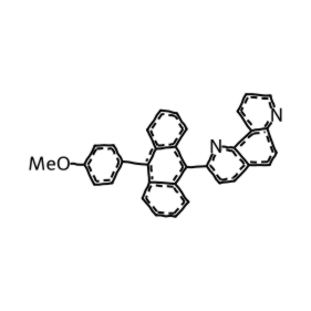 COc1ccc(-c2c3ccccc3c(-c3ccc4ccc5ncccc5c4n3)c3ccccc23)cc1